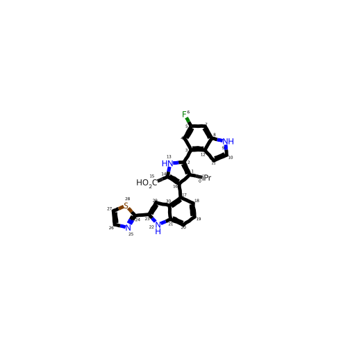 CC(C)c1c(-c2cc(F)cc3[nH]ccc23)[nH]c(C(=O)O)c1-c1cccc2[nH]c(-c3nccs3)cc12